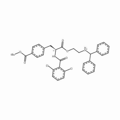 CC(C)(C)OC(=O)c1ccc(C[C@H](NC(=O)c2c(Cl)cccc2Cl)C(=O)OCC[SiH2]C(c2ccccc2)c2ccccc2)cc1